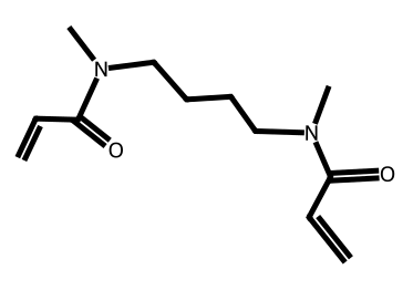 C=CC(=O)N(C)CCCCN(C)C(=O)C=C